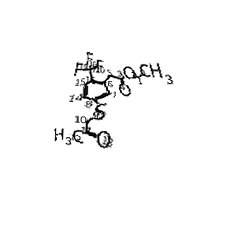 CCOC(=O)Cc1cc(SCC(C)=O)ccc1C(F)(F)F